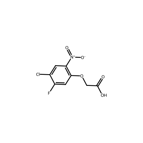 O=C(O)COc1cc(F)c(Cl)cc1[N+](=O)[O-]